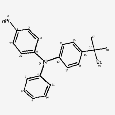 CCCc1ccc(N(c2ccccc2)c2ccc(C(C)(C)CC)cc2)cc1